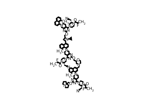 C=C(F)C(=O)N1CCN(c2nc(OCC3CC(c4ccc(N5CCc6c(nc(OCC7CN(Cc8cc(N9CCc%10c(nc(OCC%11%12CCCN%11CCC%12)nc%10N%10CCN(C(=O)C(=C)F)[C@@H](CC#N)C%10)C9)c9c(C)cccc9c8)CCO7)nc6N6CCN(C(=O)C(=C)F)[C@@H](CC#N)C6)C5)c5c(C)cccc45)N3C3CC3)nc3c2CCN(c2cccc4cccc(C)c24)C3)C[C@@H]1CC#N